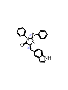 O=C1/C(=C/c2ccc3[nH]ccc3c2)S/C(=N\c2ccccc2)N1c1ccccc1